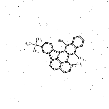 Cc1c2ccccc2c(C(C)(C)C)c2c1c1c3c(ccc4c5cc([Si](C)(C)C)ccc5n2c43)cc[n+]1C